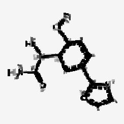 CCOc1ccc(-c2ncco2)cc1N(S)C(N)=O